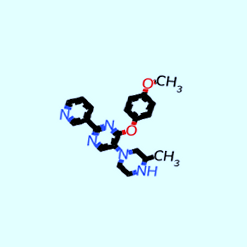 COc1ccc(Oc2nc(-c3cccnc3)ncc2N2CCNC(C)C2)cc1